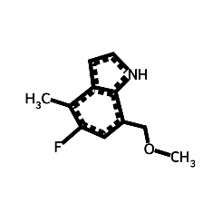 COCc1cc(F)c(C)c2cc[nH]c12